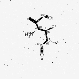 C=C(N=O)[C@@H](N)[C@@H](F)[C@H](C)N=O